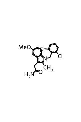 COc1ccc2c(c1)c(CC(N)=O)c(C)n2Cc1c(Cl)cccc1Cl